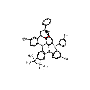 CC(C)c1cc2c3c(c1)N(c1ccc(C(C)(C)C)cc1-c1cccc(-c4ccccc4)c1)c1cc4c(cc1B3c1ccc(C(C)(C)C)cc1N2c1cccc(C(C)(C)C)c1)C(C)(C)CC4(C)C